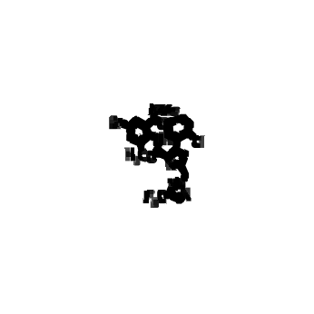 CNC(=O)c1cc(Br)cc(C)c1NC(=O)C1=C(c2ccccc2Cl)CC(Cn2ncc(C(F)(F)F)n2)=N1